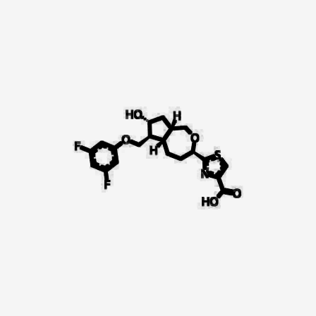 O=C(O)c1csc([C@H]2CC[C@H]3[C@@H](CO2)C[C@@H](O)[C@@H]3COc2cc(F)cc(F)c2)n1